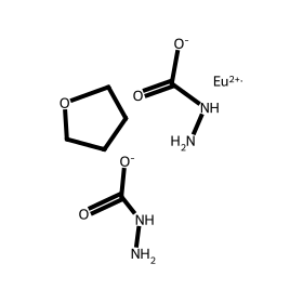 C1CCOC1.NNC(=O)[O-].NNC(=O)[O-].[Eu+2]